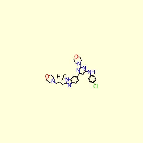 Cn1c(CCCN2CCOCC2)nc2ccc(-c3cc(Nc4ccc(Cl)cc4)nc(N4CCOCC4)n3)cc21